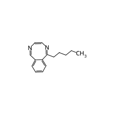 CCCCC/C1=N/C=C\N=C/c2ccccc21